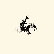 CC(C)(C)OC(=O)N[C@@H](COCCC1CC1)[C@@]1(Cc2nccc3oc(CCC4CC4)cc23)OC(C)(C)OC1=O